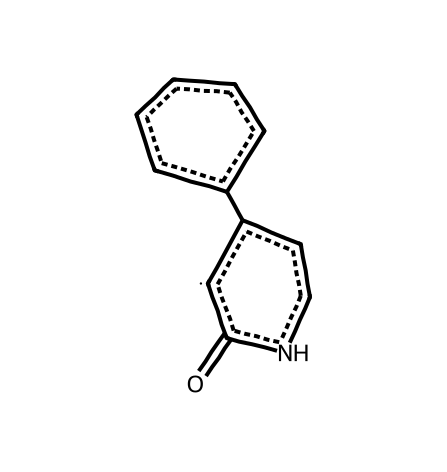 O=c1[c]c(-c2ccccc2)cc[nH]1